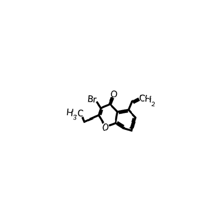 C=Cc1cccc2oc(CC)c(Br)c(=O)c12